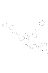 N=C(N)NCCC[C@@H](C(N)=O)n1c(-c2cccc(OCc3ccccc3)c2)nc2cc(C(=O)NCc3cccc(C(F)(F)F)c3)ccc21